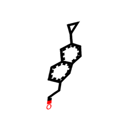 O=CCc1ccc2cc(C3CC3)ccc2c1